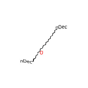 CCCCCCCCCCCCCCCCCCCCCCCCC(=O)CCCCCCCCCCCCCCCC